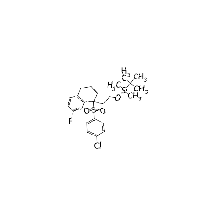 CC(C)(C)[Si](C)(C)OCCC1(S(=O)(=O)c2ccc(Cl)cc2)CCCc2ccc(F)cc21